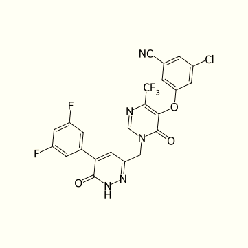 N#Cc1cc(Cl)cc(Oc2c(C(F)(F)F)ncn(Cc3cc(-c4cc(F)cc(F)c4)c(=O)[nH]n3)c2=O)c1